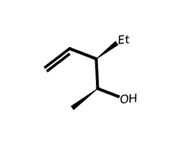 C=C[C@@H](CC)[C@H](C)O